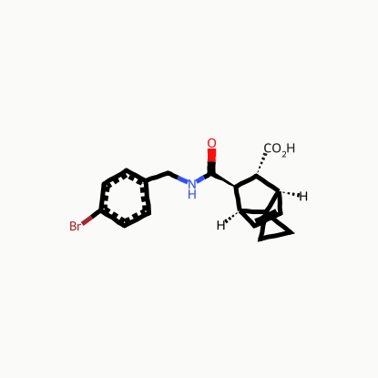 O=C(O)[C@H]1[C@H](C(=O)NCc2ccc(Br)cc2)[C@@H]2C=C[C@H]1C21CC1